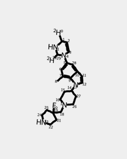 [2H]C1C=CN(c2cc(C)c3c(ccn3C3CCN(CC4(F)CCNCC4)CC3)c2)C([2H])N1